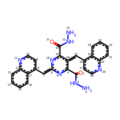 NNC(=O)c1nc(=Cc2ccnc3ccccc23)nc(C(=O)NN)c1=Cc1ccnc2ccccc12